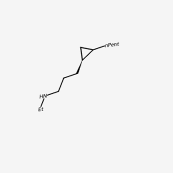 CCCCCC1C[C@@H]1CCCNCC